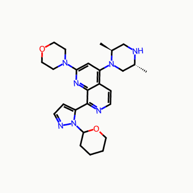 C[C@@H]1CN(c2cc(N3CCOCC3)nc3c(-c4ccnn4C4CCCCO4)nccc23)[C@@H](C)CN1